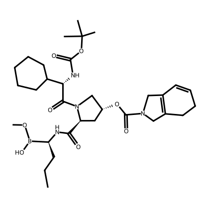 CCC[C@H](NC(=O)[C@@H]1C[C@@H](OC(=O)N2CC3=C(CCC=C3)C2)CN1C(=O)[C@@H](NC(=O)OC(C)(C)C)C1CCCCC1)B(O)OC